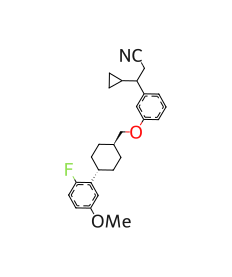 COc1ccc(F)c([C@H]2CC[C@H](COc3cccc(C(CC#N)C4CC4)c3)CC2)c1